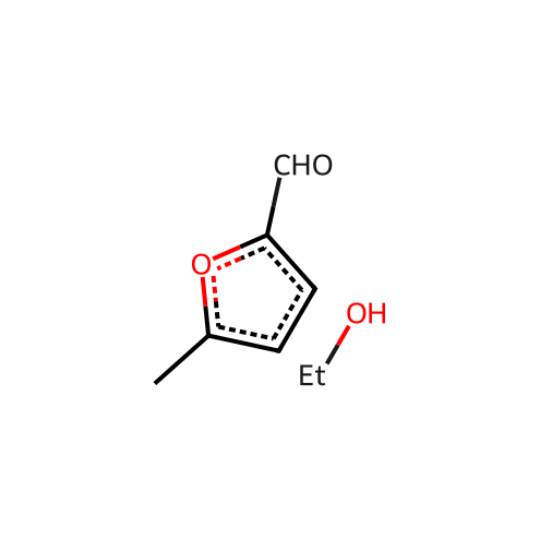 CCO.Cc1ccc(C=O)o1